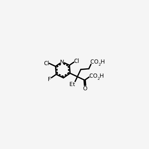 CCC(CCC(=O)O)(C(=O)C(=O)O)c1cc(F)c(Cl)nc1Cl